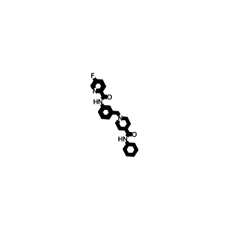 O=C(Nc1cccc(CN2CCC(C(=O)NC3CCCCC3)CC2)c1)c1ccc(F)cn1